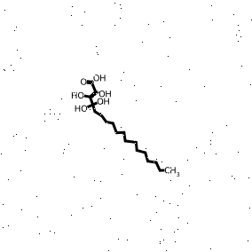 CCCCCCCCCCCCCCC(O)(O)C(O)=C(O)C(=O)O